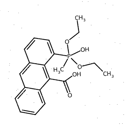 CCOP(C)(O)(OCC)c1cccc2cc3ccccc3c(C(=O)O)c12